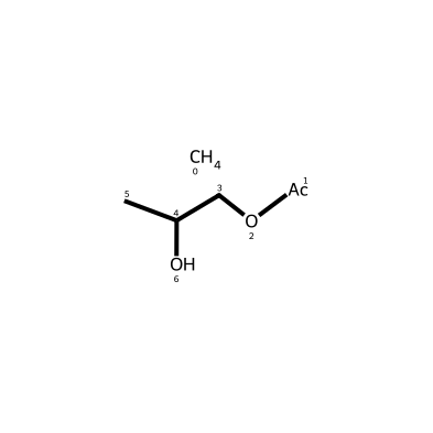 C.CC(=O)OCC(C)O